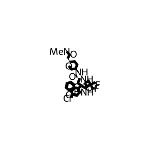 CNC(=O)C[C@@H]1CC[C@@H](NC(=O)[C@@H]2NC3(CC(CF)(CF)C3)[C@@]3(C(=O)Nc4cc(Cl)ccc43)[C@H]2c2cccc(Cl)c2F)CO1